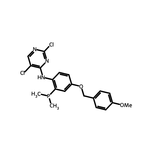 COc1ccc(COc2ccc(Nc3nc(Cl)ncc3Cl)c(P(C)C)c2)cc1